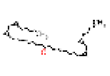 CCCCCC1CC1CC1CC1CCCCCCCCC(=O)CCCCCCCCC1CC1CC1CC1CCCCC